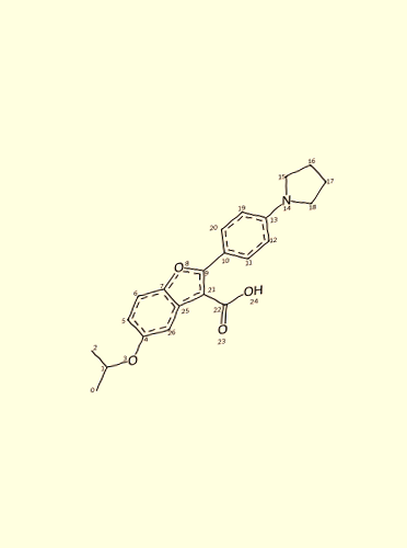 CC(C)Oc1ccc2oc(-c3ccc(N4CCCC4)cc3)c(C(=O)O)c2c1